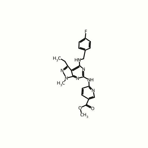 CCc1nn(C)c2nc(Nc3ccc(C(=O)OC)cn3)nc(NCc3ccc(F)cc3)c12